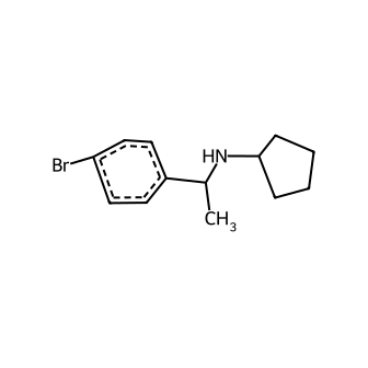 CC(NC1CCCC1)c1ccc(Br)cc1